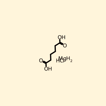 Cl.O=C(O)CCCCC(=O)O.[MgH2]